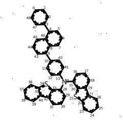 c1ccc(-c2cccc3c(-c4ccc(N(c5cccc6c5sc5ccccc56)c5cccc6c5sc5ccccc56)cc4)cccc23)cc1